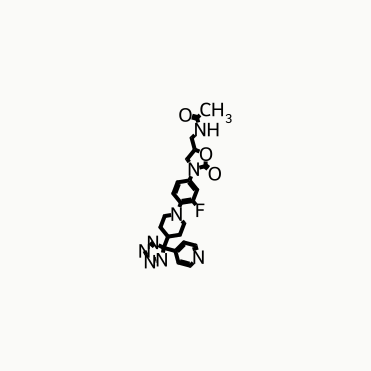 CC(=O)NCC1CN(c2ccc(N3CCC(C4(c5ccncc5)N=NN=N4)CC3)c(F)c2)C(=O)O1